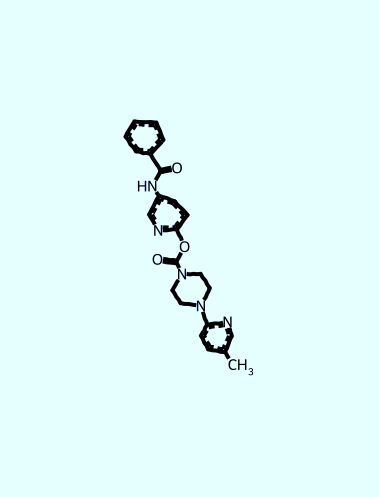 Cc1ccc(N2CCN(C(=O)Oc3ccc(NC(=O)c4ccccc4)cn3)CC2)nc1